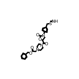 N=CSCc1ccc(N2CC(C(=O)N3CCN(CC(=O)OCc4ccccc4)CC3)OC2=O)cc1